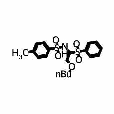 CCCCOCC(NS(=O)(=O)c1ccc(C)cc1)S(=O)(=O)c1ccccc1